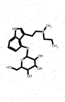 CCCN(C)CCc1c[nH]c2cccc(OC3OC(CO)C(O)C(O)C3O)c12